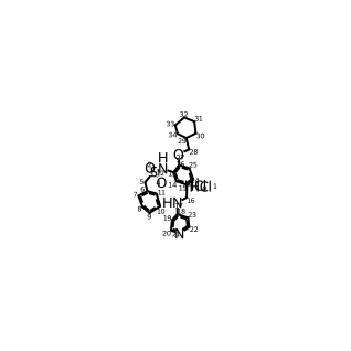 Cl.Cl.O=S(=O)(Cc1ccccc1)Nc1cc(CNc2ccncc2)ccc1OCC1CCCCC1